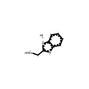 CCCCCCCc1nc2ccccc2s1.I